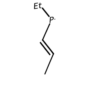 CC=C[P]CC